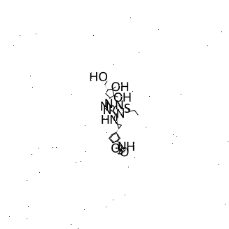 CCCSc1nc(N[C@H]2C[C@@H]2c2cccc(NS(C)(=O)=O)c2)c2nnn(C3C[C@H](CCO)[C@@H](O)C3O)c2n1